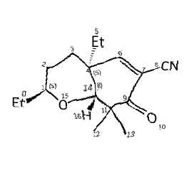 CC[C@H]1CC[C@@]2(CC)C=C(C#N)C(=O)C(C)(C)[C@@H]2O1